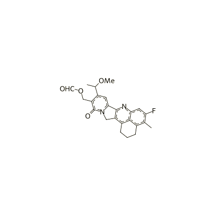 COC(C)c1cc2n(c(=O)c1COC=O)Cc1c-2nc2cc(F)c(C)c3c2c1CCC3